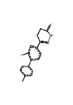 Cc1ccc(-c2ccc(C3=NNC(=O)CC3)cc2F)cc1